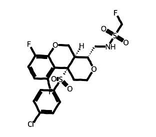 O=S(=O)(CF)NC[C@@H]1OCC[C@@]2(S(=O)(=O)c3ccc(Cl)cc3)c3c(F)ccc(F)c3OC[C@@H]12